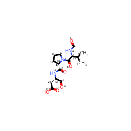 CC(C)[C@H](NC=O)C(=O)N1CCC[C@H]1C(=O)N[C@H](C=O)CC(=O)O